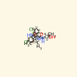 CCCC1(CC)N[C@@H](C(=O)NC2CC(C)(O)C2)[C@H](c2cccc(Cl)c2F)[C@]12C(=O)Nc1cc(Cl)ccc12